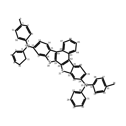 Cc1ccc(N(C2=CC=CCC2)c2ccc3c(c2)sc2c4sc5cc(N(c6ccccc6)c6ccc(C)cc6)ccc5c4c4ccccc4c32)cc1